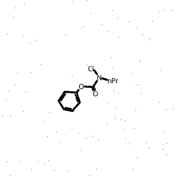 CCCN(Cl)C(=O)Oc1ccccc1